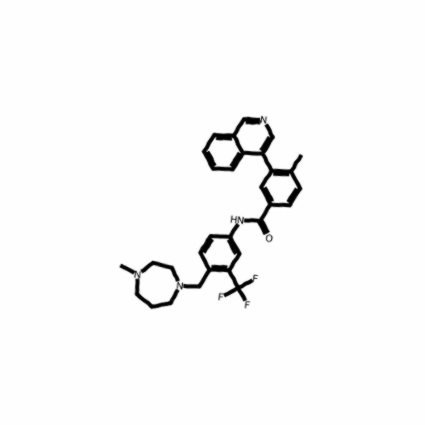 Cc1ccc(C(=O)Nc2ccc(CN3CCCN(C)CC3)c(C(F)(F)F)c2)cc1-c1cncc2ccccc12